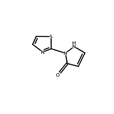 O=c1cc[nH]n1-c1nccs1